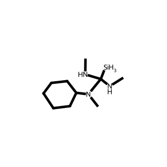 CNC([SiH3])(NC)N(C)C1CCCCC1